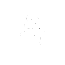 CC(C)(C)OC(=O)N1C[C@@H]2C[C@H]1CN2Cc1ccc2onc(N3CCC(=O)NC3=O)c2c1